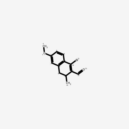 COc1ccc2c(c1)CC(C)C(C=O)=C2Br